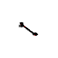 Cc1ccc(OCCCCCCCCCCCC/C=C/C=C(\S)C2=NC(C)CS2)cc1